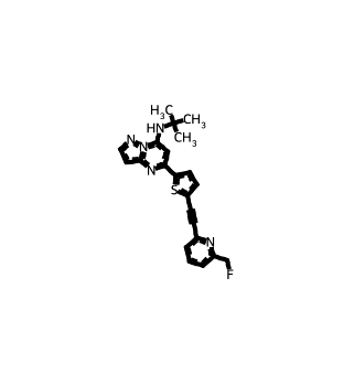 CC(C)(C)Nc1cc(-c2ccc(C#Cc3cccc(CF)n3)s2)nc2ccnn12